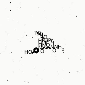 CC(C)[C@H](NC(=O)CN=[N+]=[N-])C(=O)N[C@@H](CCCNC(N)=O)C(=O)Nc1ccc(CO)cc1